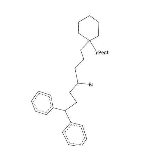 CCCCCC1(CCCC(Br)CCC(c2ccccc2)c2ccccc2)CCCCC1